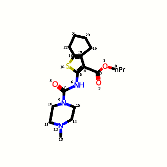 CCCOC(=O)c1c(NC(=O)N2CCN(C)CC2)sc2c1CCCC2